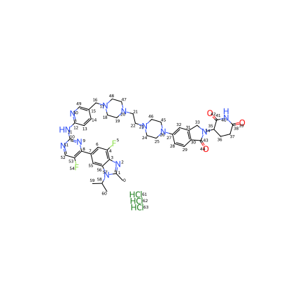 Cc1nc2c(F)cc(-c3nc(Nc4ccc(CN5CCN(CCN6CCN(c7ccc8c(c7)CN(C7CCC(=O)NC7=O)C8=O)CC6)CC5)cn4)ncc3F)cc2n1C(C)C.Cl.Cl.Cl